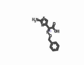 Nc1nc(/C(=N/OCc2ccccc2)C(=O)O)cs1